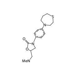 CNCC1CN(c2ccc(N3CCCSCC3)cc2)C(=O)O1